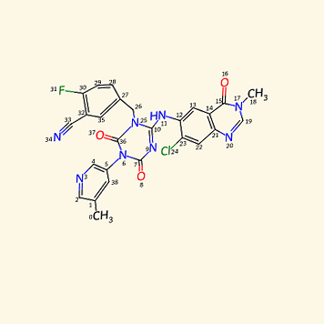 Cc1cncc(-n2c(=O)nc(Nc3cc4c(=O)n(C)cnc4cc3Cl)n(Cc3ccc(F)c(C#N)c3)c2=O)c1